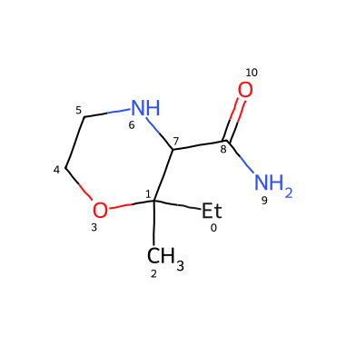 CCC1(C)OCCNC1C(N)=O